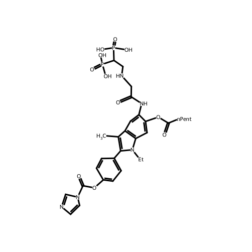 CCCCCC(=O)Oc1cc2c(cc1NC(=O)CNCC(P(=O)(O)O)P(=O)(O)O)c(C)c(-c1ccc(OC(=O)n3ccnc3)cc1)n2CC